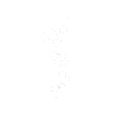 COc1cccc(N2c3ccc(-c4ccc5ccc6c(-c7ccc8c(c7)C7(C)CCCCC7(C)N8c7cccc(OC)c7)ccc7ccc4c5c76)cc3C3(C)CCCCC23C)c1